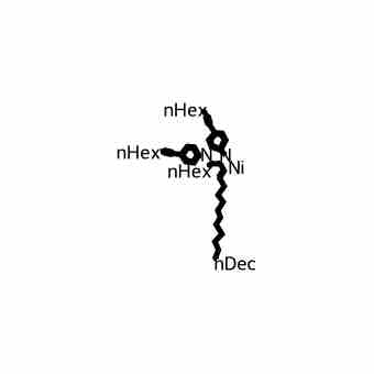 CCCCCCC#Cc1ccc(N=C(C=CCCCCCCCCCCCCCCCCCCCC)C(CCCCCC)=Nc2ccc(C#CCCCCCC)cc2)cc1.[Ni]